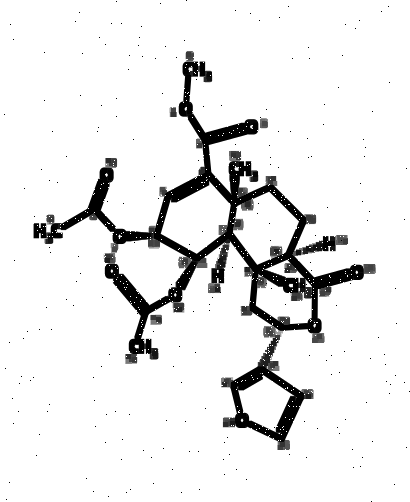 COC(=O)C1=C[C@H](OC(C)=O)[C@H](OC(C)=O)[C@@H]2[C@@]3(C)C[C@@H](c4ccoc4)OC(=O)[C@@H]3CC[C@@]12C